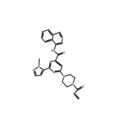 C=CC(=O)N1CCN(c2cc(C(=O)Nc3cccc4ccccc34)nc(-c3ccnn3C)n2)CC1